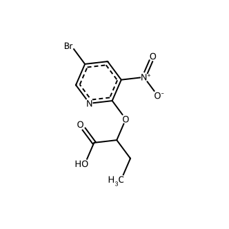 CCC(Oc1ncc(Br)cc1[N+](=O)[O-])C(=O)O